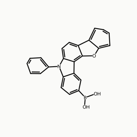 OB(O)c1ccc2c(c1)c1c3oc4ccccc4c3ccc1n2-c1ccccc1